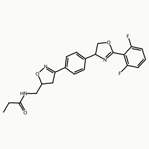 CCC(=O)NCC1CC(c2ccc(C3COC(c4c(F)cccc4F)=N3)cc2)=NO1